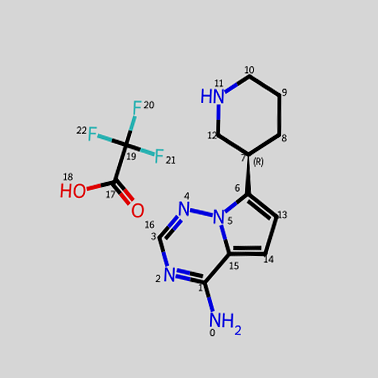 Nc1ncnn2c([C@@H]3CCCNC3)ccc12.O=C(O)C(F)(F)F